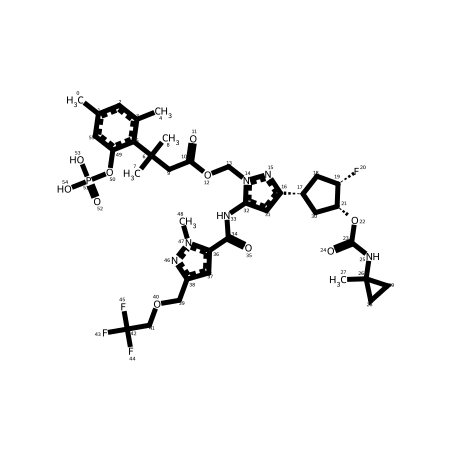 Cc1cc(C)c(C(C)(C)CC(=O)OCn2nc([C@@H]3C[C@H](F)[C@H](OC(=O)NC4(C)CC4)C3)cc2NC(=O)c2cc(COCC(F)(F)F)nn2C)c(OP(=O)(O)O)c1